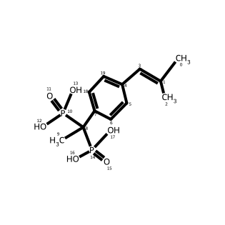 CC(C)=Cc1ccc(C(C)(P(=O)(O)O)P(=O)(O)O)cc1